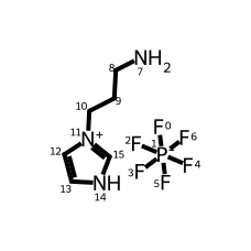 F[P-](F)(F)(F)(F)F.NCCC[n+]1cc[nH]c1